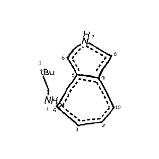 CC(C)(C)N.c1ccc2c[nH]cc2c1